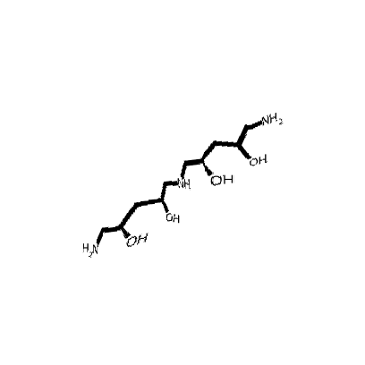 NCC(O)C[C@@H](O)CNCC(O)C[C@@H](O)CN